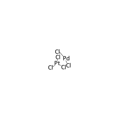 [Cl][Pd][Cl].[Cl][Pt]([Cl])[Cl]